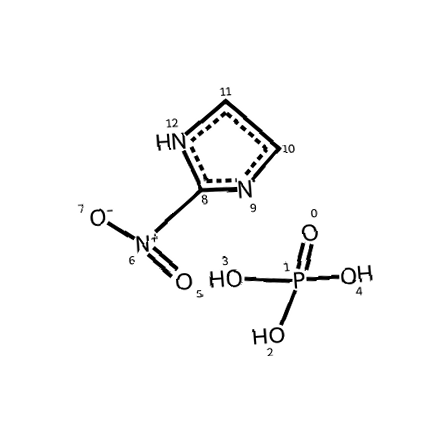 O=P(O)(O)O.O=[N+]([O-])c1ncc[nH]1